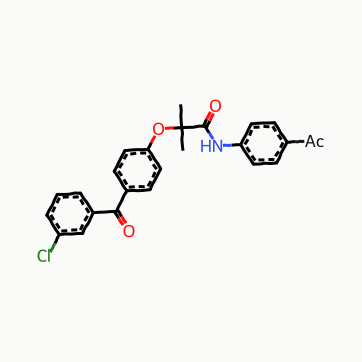 CC(=O)c1ccc(NC(=O)C(C)(C)Oc2ccc(C(=O)c3cccc(Cl)c3)cc2)cc1